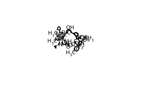 CO[C@@H](C)c1ncc(N2CCN(C)CC2)cc1-c1c2c3cc(ccc3n1C)-c1cc(O)cc(c1)C[C@H](NC(=O)[C@H](C1CCCC1)N(C)C(=O)CN(C)C(=O)[C@@H]1N[C@@H]1C1CC1)C(=O)N1CCC[C@H](N1)C(=O)OCC(C)(C)C2